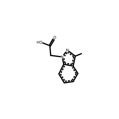 Cc1nn(CC(=O)O)c2cc[c]cc12